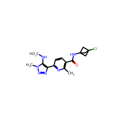 Cc1nc(-c2nnn(C)c2NC(=O)O)ccc1C(=O)NC12CC(Cl)(C1)C2